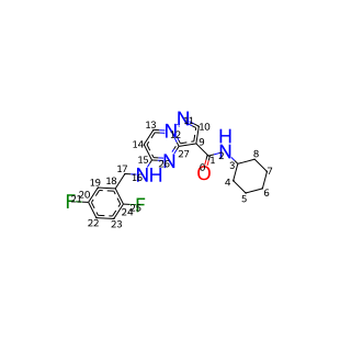 O=C(NC1CCCCC1)c1cnn2ccc(NCc3cc(F)ccc3F)nc12